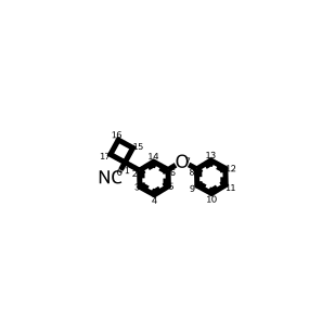 N#CC1(c2cccc(Oc3ccccc3)c2)CCC1